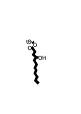 C=CCCCCCCC(O)CCC(=O)OC(C)(C)C